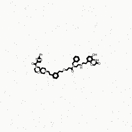 CC(C)c1nc(C(=O)N2CCOC3(CCN(CCc4cccc(CCOCCC(=O)N(CCNCCc5ccc(O)c6c5OCC(=O)N6)Cc5ccccc5)c4)CC3)C2)cs1